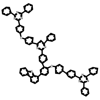 c1ccc(-c2cc(-c3ccc(Oc4ccc(-c5nc(-c6ccccc6)nc(-c6ccccc6)n5)cc4)cc3)nc(-c3ccc(-c4cc(-c5cccc6c5sc5ccccc56)ccc4Oc4ccc(-c5ccc(-c6nc(-c7ccccc7)nc(-c7ccccc7)n6)cc5)cc4)cc3)n2)cc1